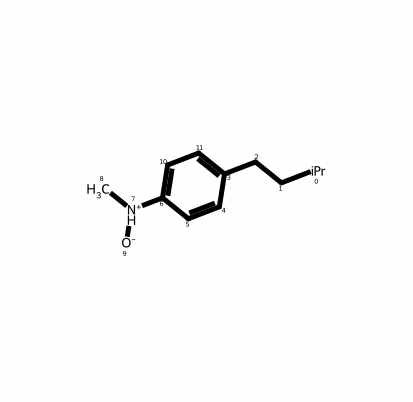 CC(C)CCc1ccc([NH+](C)[O-])cc1